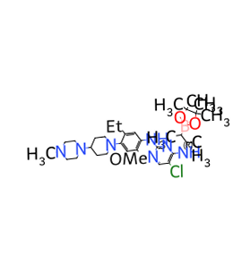 CCc1cc(Nc2ncc(Cl)c(N[C@H](C)C(C)B3OC(C)(C)C(C)(C)O3)n2)c(OC)cc1N1CCC(N2CCN(C)CC2)CC1